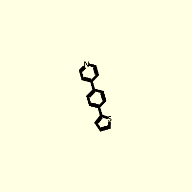 c1csc(-c2ccc(-c3ccncc3)cc2)c1